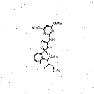 COc1cc(OC)nc(NC(=O)NS(=O)(=O)c2cccnc2C(OC)C(F)COC(C)=O)n1